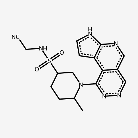 CC1CCC(S(=O)(=O)NCC#N)CN1c1nncc2cnc3[nH]ccc3c12